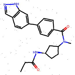 CCC(=O)N[C@@H]1CCC(N(C)C(=O)c2ccc(-c3ccc4cn[nH]c4c3)cc2)C1